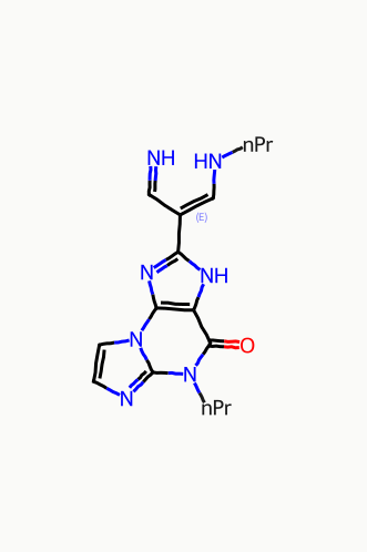 CCCN/C=C(\C=N)c1nc2c([nH]1)c(=O)n(CCC)c1nccn21